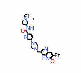 CCc1cc2ncc(CN3CCN(c4ccc(C(=O)NC5CCN(C)C5)nc4)CC3)cc2[nH]c1=O